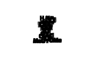 COc1cc(OC)c(Cl)c(N2Cc3cnc(N[C@@H]4CCCC[C@@H]4N)nc3N(Cc3ccccc3)C2=O)c1Cl